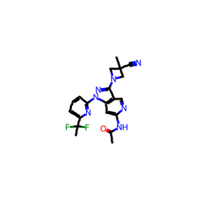 CC(=O)Nc1cc2c(cn1)c(N1CC(C)(C#N)C1)nn2-c1cccc(C(C)(F)F)n1